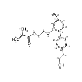 C=C(C)C(=O)OCCOc1cc(CCC)ccc1-c1ccc(CCO)cc1